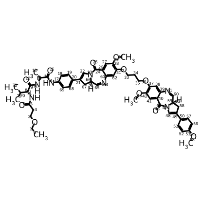 CCOCCC(=O)N[C@H](C(=O)N[C@@H](C)C(=O)Nc1ccc(C2=CN3C(=O)c4cc(OC)c(OCCCOc5cc6c(cc5OC)C(=O)N5C=C(c7ccc(OC)cc7)C[C@H]5C=N6)cc4N=C[C@@H]3C2)cc1)C(C)C